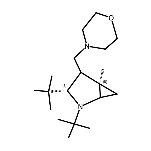 CC(C)(C)[C@@H]1C(CN2CCOCC2)[C@@]2(C)CC2N1C(C)(C)C